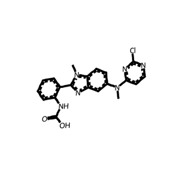 CN(c1ccc2c(c1)nc(-c1ccccc1NC(=O)O)n2C)c1ccnc(Cl)n1